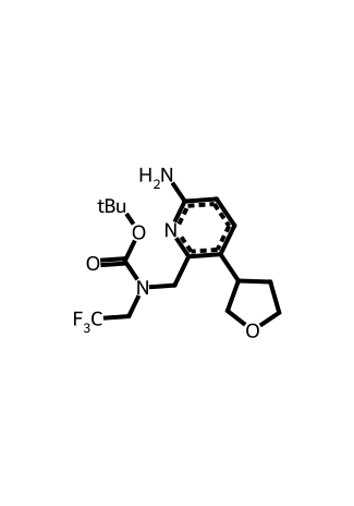 CC(C)(C)OC(=O)N(Cc1nc(N)ccc1C1CCOC1)CC(F)(F)F